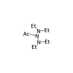 CCN(CC)N(C(C)=O)N(CC)CC